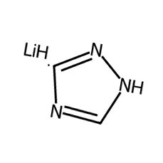 [LiH].[c]1nc[nH]n1